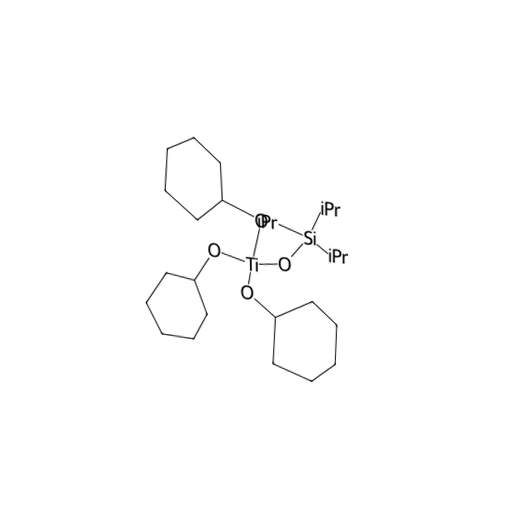 CC(C)[Si]([O][Ti]([O]C1CCCCC1)([O]C1CCCCC1)[O]C1CCCCC1)(C(C)C)C(C)C